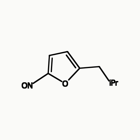 CC(C)Cc1ccc(N=O)o1